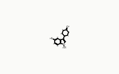 CCn1cc(C2CCC(=O)CC2)c2cc(F)ccc21